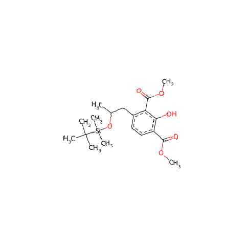 COC(=O)c1ccc(CC(C)O[Si](C)(C)C(C)(C)C)c(C(=O)OC)c1O